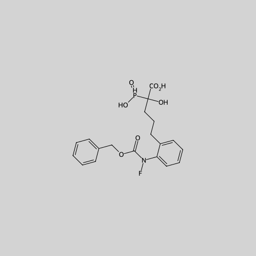 O=C(OCc1ccccc1)N(F)c1ccccc1CCCC(O)(C(=O)O)[PH](=O)O